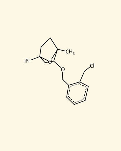 CC(C)C12CCC(C)(O1)C(OCc1ccccc1CCl)C2